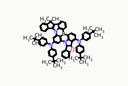 CC(C)(C)c1ccc(N(c2ccc(C(C)(C)C)cc2)c2cc3c4c(c2)-n2c5c(c6cccc(c62)B4c2ccc(N(c4ccc(C(C)(C)C)cc4)c4ccc(C(C)(C)C)cc4)c4c2N3C2c3ccccc3OC42)C(C)(C)c2ccccc2-5)cc1